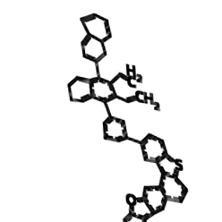 C=Cc1c(C=C)c(-c2cccc(-c3ccc4sc5ccc6cc7c(cc6c5c4c3)oc3ccccc37)c2)c2c(c1C1=CC=C3C=CC=CC3C1)=CCCC=2